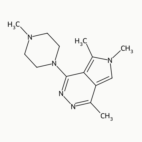 Cc1nnc(N2CCN(C)CC2)c2c(C)n(C)cc12